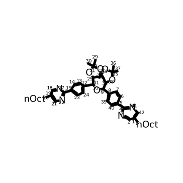 CCCCCCCCc1cnc(-c2ccc(C(OC(c3ccc(-c4ncc(CCCCCCCC)cn4)cc3)C3COC(C)(C)O3)C3COC(C)(C)O3)cc2)nc1